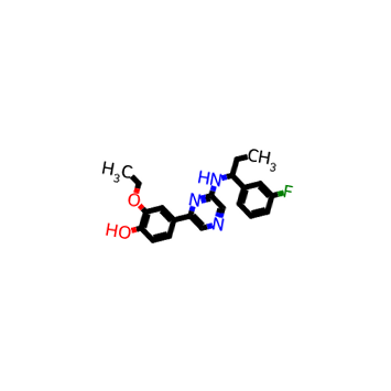 CCOc1cc(-c2cncc(NC(CC)c3cccc(F)c3)n2)ccc1O